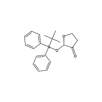 CC(C)(C)[Si](OC1OCCC1=O)(c1ccccc1)c1ccccc1